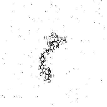 CC(C)c1ccc(C2(C#N)CC3(CC3)C2)cc1Nc1cc(N2CC(CN3CCN(c4ccc5c(c4)C(=O)N(C4CCC(=O)NC4=O)C5=O)CC3)C2)ncn1